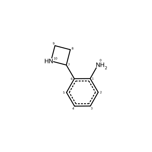 Nc1ccccc1C1CCN1